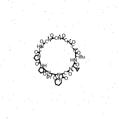 CC[C@H](C)C1NC(=O)C(C2CC2)N(C)C(=O)CC(C(=O)N2CCCCC2)N(C)C(=O)C(C(C)C)N(C)C(=O)C2(CCCC2)NC(=O)C2CCCN2C(=O)CNC(=O)CN(C)C(=O)CN(C)C(=O)CN(C)C(=O)CN(C)C1=O